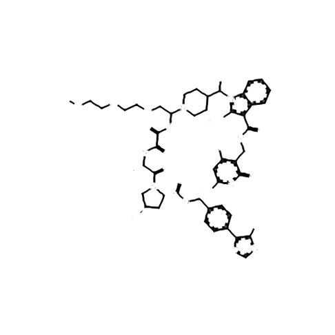 CCOCCOCCOCC(OC(=O)C(=O)N[C@H](C(=O)N1C[C@H](O)C[C@H]1C(=O)NCc1ccc(-c2scnc2C)cc1)C(C)(C)C)N1CCC(C(C)n2c(C)c(C(=O)NCc3c(C)cc(C)[nH]c3=O)c3ccccc32)CC1